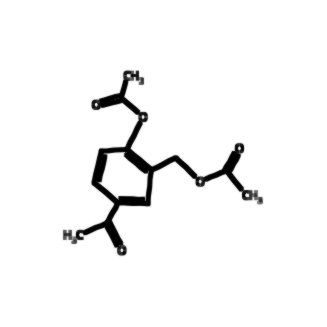 CC(=O)OCc1cc(C(C)=O)ccc1OC(C)=O